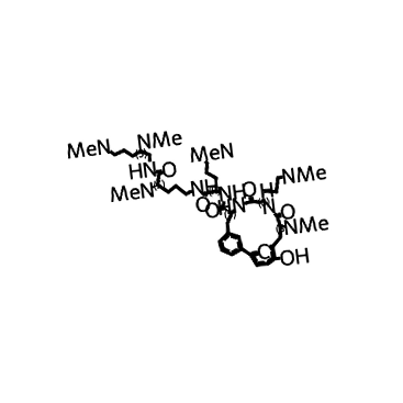 CNCCC[C@@H](CNC(=O)[C@H](CCCNC(=O)[C@@H](CCCNC)NC(=O)[C@@H]1Cc2cccc(c2)-c2ccc(O)c(c2)C[C@H](NC)C(=O)N[C@@H](CCCNC)C(=O)N1)NC)NC